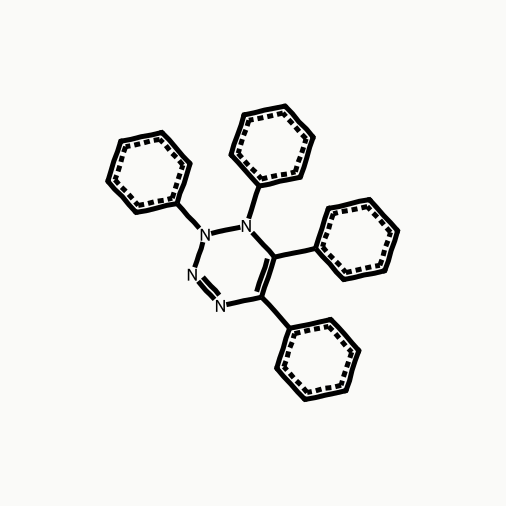 c1ccc(C2=C(c3ccccc3)N(c3ccccc3)N(c3ccccc3)N=N2)cc1